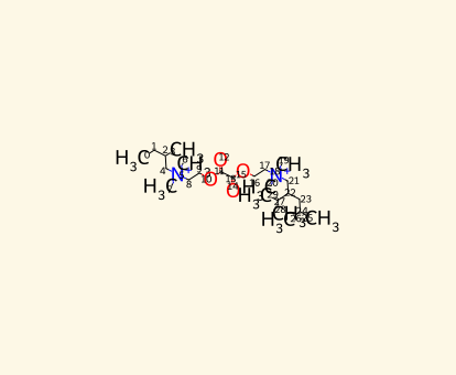 CCC(C)C[N+](C)(C)CCOC(=O)C(=O)OCC[N+](C)(C)CC(CC(C)C)C(C)C